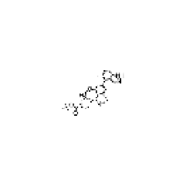 Cc1ccc2[nH]ncc2c1-c1cc2c3c(ncnc3c1)N1CCN(C(=O)OC(C)(C)C)C[C@@H]1CO2